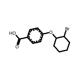 O=C(O)c1ccc(OC2CCCCC2Br)cc1